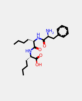 CCCC[C@H](NC(=O)[C@H](CCCC)NC(=O)[C@@H](N)Cc1ccccc1)C(=O)O